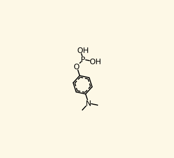 CN(C)c1ccc(OP(O)O)cc1